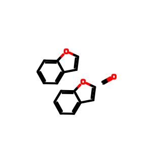 C=O.c1ccc2occc2c1.c1ccc2occc2c1